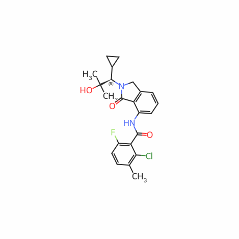 Cc1ccc(F)c(C(=O)Nc2cccc3c2C(=O)N([C@H](C2CC2)C(C)(C)O)C3)c1Cl